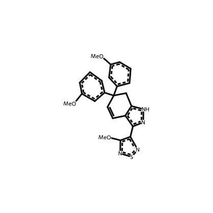 COc1cccc(C2(c3cccc(OC)c3)C=Cc3c(-c4nsnc4OC)n[nH]c3C2)c1